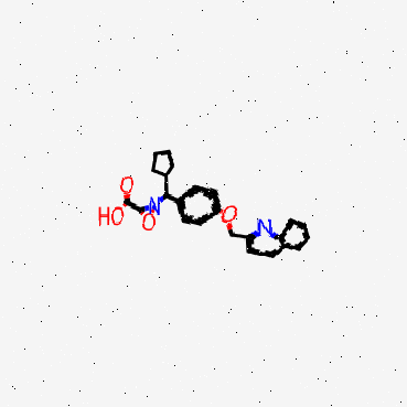 O=C(O)C1ON1C(c1ccc(OCc2ccc3ccccc3n2)cc1)C1CCCC1